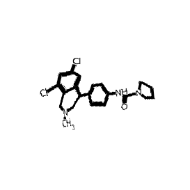 CN1Cc2c(Cl)cc(Cl)cc2C(c2ccc(NC(=O)N3CCCC3)cc2)C1